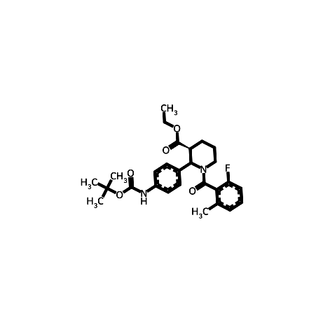 CCOC(=O)[C@H]1CCCN(C(=O)c2c(C)cccc2F)C1c1ccc(NC(=O)OC(C)(C)C)cc1